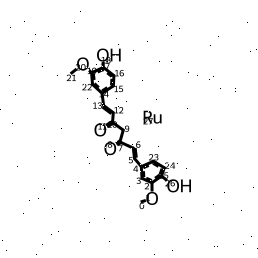 COc1cc(/C=C/C(=O)CC(=O)/C=C/c2ccc(O)c(OC)c2)ccc1O.[Ru]